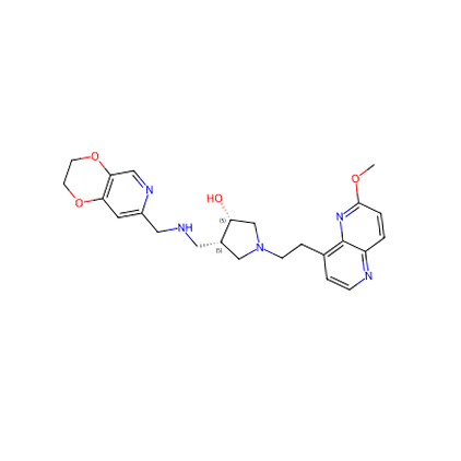 COc1ccc2nccc(CCN3C[C@H](CNCc4cc5c(cn4)OCCO5)[C@H](O)C3)c2n1